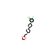 Fc1ccc([C@H]2CC[C@H]([C@H]3CC[C@H](CCC4OCCO4)CC3)CC2)cc1Cl